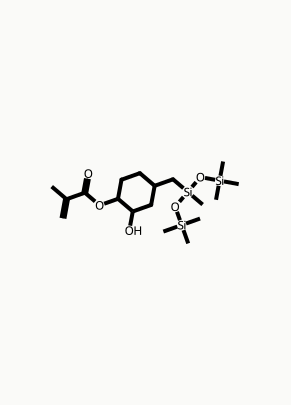 C=C(C)C(=O)OC1CCC(C[Si](C)(O[Si](C)(C)C)O[Si](C)(C)C)CC1O